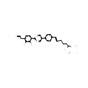 C=CCc1ccc(-c2ncc(-c3ccc(C=CCCCC(C)OCCCCC)cc3)cn2)c(F)c1F